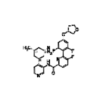 C[C@@H]1C[C@H](N)C[C@H](c2ccncc2NC(=O)c2ccc(F)c(-c3c(F)cc(OC4CCOC4)cc3F)n2)C1